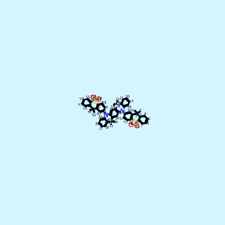 CC1(C)c2ccccc2S(=O)(=O)c2ccc(N3c4ccccc4[Si](C)(C)c4cc5c(cc43)[Si](C)(C)c3ccccc3N5c3ccc4c(c3)C(C)(C)c3ccccc3S4(=O)=O)cc21